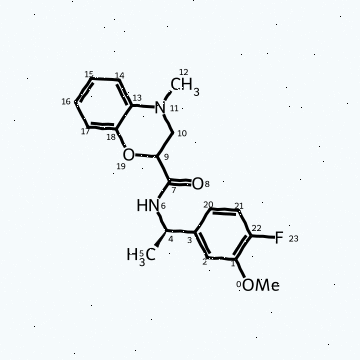 COc1cc([C@@H](C)NC(=O)C2CN(C)c3ccccc3O2)ccc1F